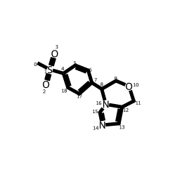 CS(=O)(=O)c1ccc(C2COCc3cncn32)cc1